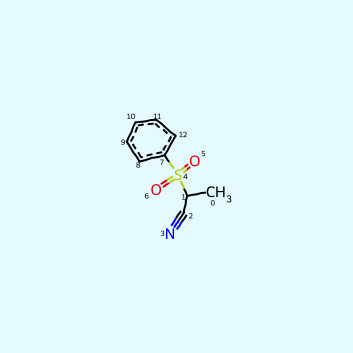 CC(C#N)S(=O)(=O)c1ccccc1